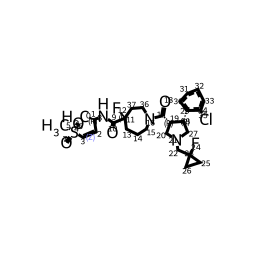 C[C@H](/C=C\S(C)(=O)=O)NC(=O)[C@@]1(F)CCCN(C(=O)[C@H]2CN(CC3(F)CC3)C[C@H]2c2ccccc2Cl)CC1